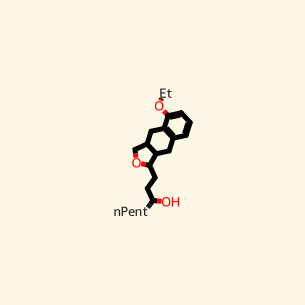 CCCCCC(O)CCC1OCC2Cc3c(cccc3OCC)CC21